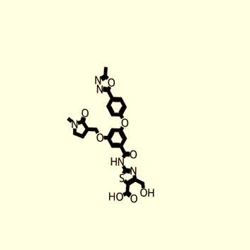 Cc1nnc(-c2ccc(Oc3cc(OCC4CCN(C)C4=O)cc(C(=O)Nc4nc(CO)c(C(=O)O)s4)c3)cc2)o1